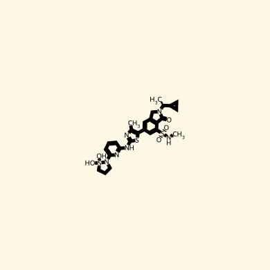 CNS(=O)(=O)c1cc(-c2sc(Nc3cccc(N4CCCS4(O)O)n3)nc2C)cc2c1C(=O)N([C@@H](C)C1CC1)C2